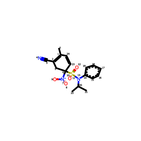 CC1=C(C#N)CC([N+](=O)[O-])(S(=O)(=O)N(c2ccccc2)C(C)C)C=C1